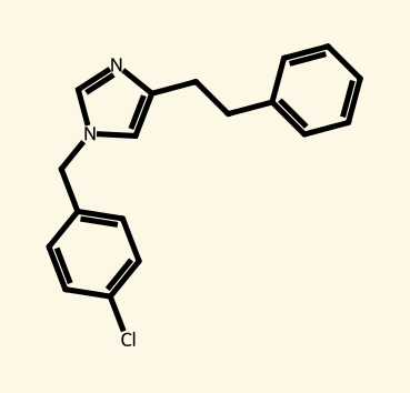 Clc1ccc(Cn2cnc(CCc3ccccc3)c2)cc1